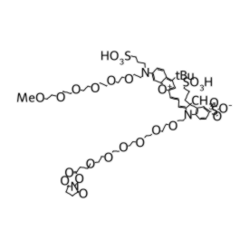 COCCOCCOCCOCCOCCOCCN(CCCS(=O)(=O)O)c1ccc2c(C(C)(C)C)cc(/C=C/C=C3/N(CCOCCOCCOCCOCCOCCOCCC(=O)ON4C(=O)CCC4=O)c4ccc(S(=O)(=O)[O-])cc4C3(C)CCCS(=O)(=O)O)[o+]c2c1